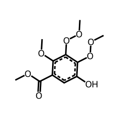 COOc1c(O)cc(C(=O)OC)c(OC)c1OOC